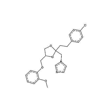 COc1ccccc1OCC1COC(CCc2ccc(Cl)cc2)(Cn2ccnc2)O1